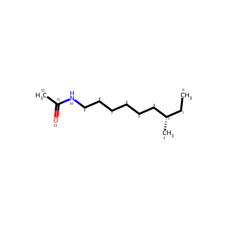 CC[C@H](C)CCCCCCNC(C)=O